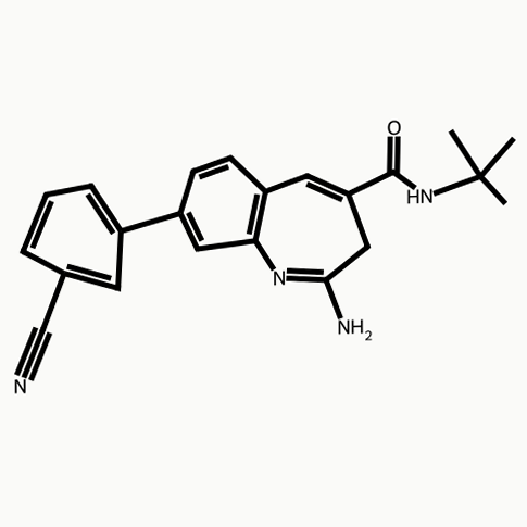 CC(C)(C)NC(=O)C1=Cc2ccc(-c3cccc(C#N)c3)cc2N=C(N)C1